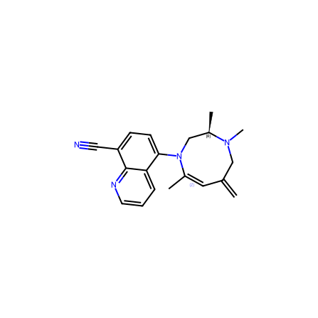 C=C1/C=C(/C)N(c2ccc(C#N)c3ncccc23)C[C@@H](C)N(C)C1